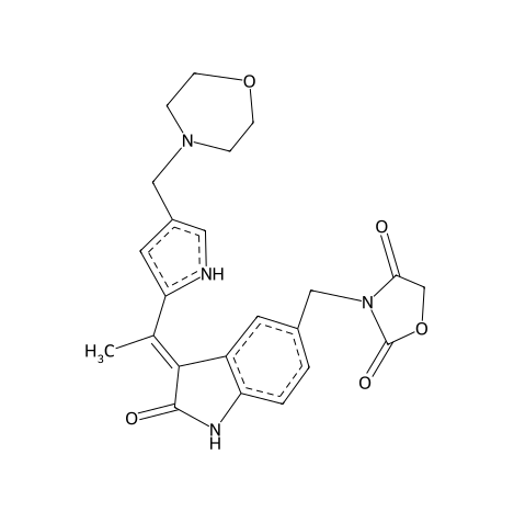 CC(=C1C(=O)Nc2ccc(CN3C(=O)COC3=O)cc21)c1cc(CN2CCOCC2)c[nH]1